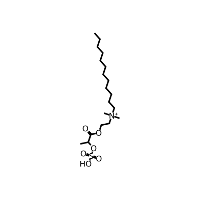 CCCCCCCCCCCC[N+](C)(C)CCOC(=O)C(C)OS(=O)(=O)O